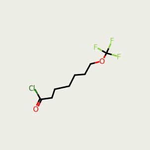 O=C(Cl)CCCCCCOC(F)(F)F